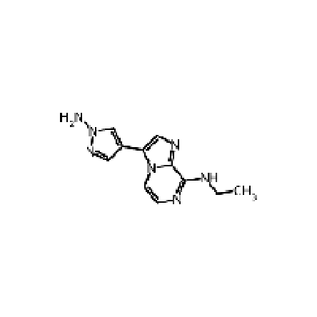 CCNc1nccn2c(-c3cnn(N)c3)cnc12